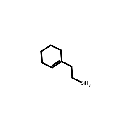 [SiH3]CCC1=CCCCC1